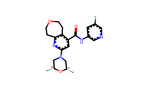 C[C@@H]1CN(c2cc(C(=O)Nc3cncc(F)c3)c3c(n2)CCOCC3)C[C@H](C)O1